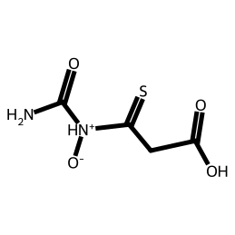 NC(=O)[NH+]([O-])C(=S)CC(=O)O